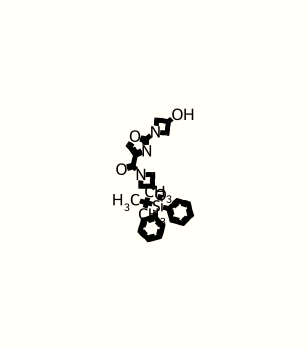 CC(C)(C)[Si](OC1CN(C(=O)c2coc(N3CC(O)C3)n2)C1)(c1ccccc1)c1ccccc1